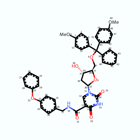 COc1ccc(C(OC[C@H]2O[C@@H](n3cc(C(=O)NCc4ccc(Oc5ccccc5)cc4)c(=O)[nH]c3=O)C[C@@H]2O)(c2ccccc2)c2ccc(OC)cc2)cc1